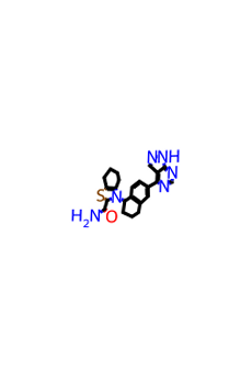 NC(=O)C1SC2=C(CCCC2)N1C1CCCc2cc(-c3ncnc4[nH]ncc34)ccc21